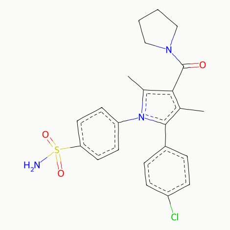 Cc1c(C(=O)N2CCCC2)c(C)n(-c2ccc(S(N)(=O)=O)cc2)c1-c1ccc(Cl)cc1